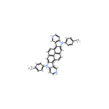 FC(F)(F)c1ccc(-n2c3ccncc3c3c4ccc5cc6c(c7ccc(cc32)c4c57)c2cnccc2n6-c2ccc(C(F)(F)F)cc2)cc1